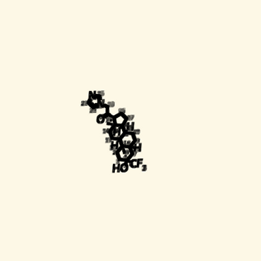 C[C@]12CC[C@](O)(C(F)(F)F)C[C@H]1CC[C@@H]1[C@@H]2CC[C@]2(C)[C@@H](C(=O)Cn3ccnc3)CC[C@@H]12